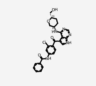 O=C(Nc1ccc(C(=O)c2c[nH]c3ncnc(N[C@@H]4CC[C@@H](CO)OC4)c23)c(Cl)c1)c1ccccc1